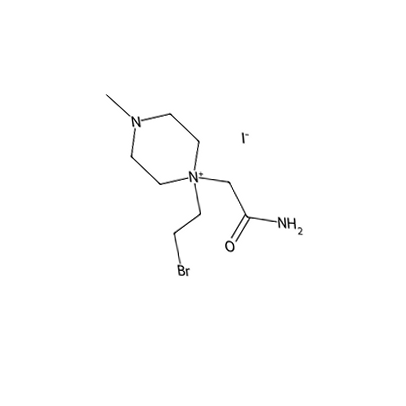 CN1CC[N+](CCBr)(CC(N)=O)CC1.[I-]